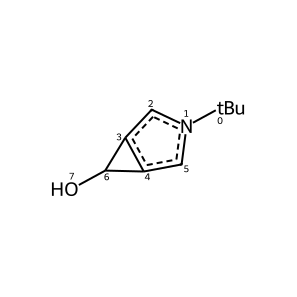 CC(C)(C)n1cc2c(c1)C2O